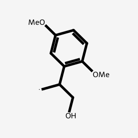 [CH2]C(CO)c1cc(OC)ccc1OC